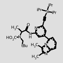 Cc1nc2cccc(-c3cc(C#C[Si](C(C)C)(C(C)C)C(C)C)nc(NC(=O)C(C)N(CC(C)(C)C)C(=O)O)c3)n2c1C